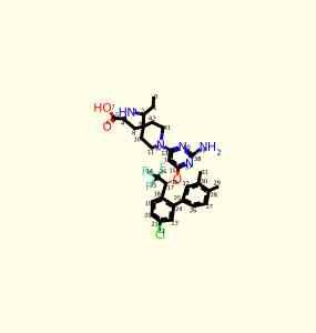 CCC1NC(C(=O)O)CC12CCN(c1cc(O[C@H](c3ccc(Cl)cc3-c3ccc(C)c(C)c3)C(F)(F)F)nc(N)n1)CC2